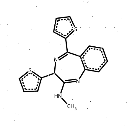 CNC1=Nc2ccccc2C(c2cccs2)=NC1c1cccs1